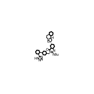 CCCCc1nc2ccc([C@H]3C[C@@H]4c5ccccc5CCN4O3)cc2c(=O)n1Cc1ccc(-c2ccccc2-c2nnn[nH]2)cc1